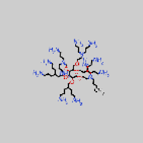 CCCCN(CCCN)CCOCC(OCC(CCCN)CCCN)C(OCCC(CCCN)CCCN)C(OCN(CCCN)CCCN)C(COCCN(CCCN)CCCN)OCCC(CCCN)CCCN